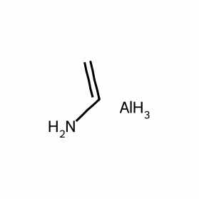 C=CN.[AlH3]